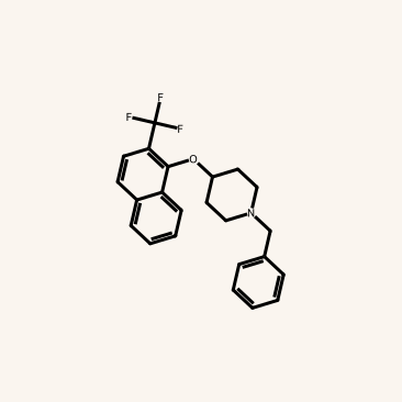 FC(F)(F)c1ccc2ccccc2c1OC1CCN(Cc2ccccc2)CC1